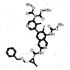 Cc1c(-c2cc3cc(NC(=O)[C@H]4C(C)[C@@H]4COCc4ccccc4)ncc3c(NC(=O)OC(C)(C)C)c2F)cncc1N(C(=O)OC(C)(C)C)C(=O)OC(C)(C)C